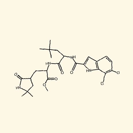 COC(=O)C(CC1CC(C)(C)NC1=O)NC(=O)C(CC(C)(C)C)NC(=O)c1cc2ccc(Cl)c(Cl)c2[nH]1